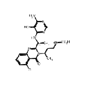 CC(CCNC(=O)O)n1c([C@H](C)Nc2ncnc(N)c2C#N)nc2cccc(Cl)c2c1=O